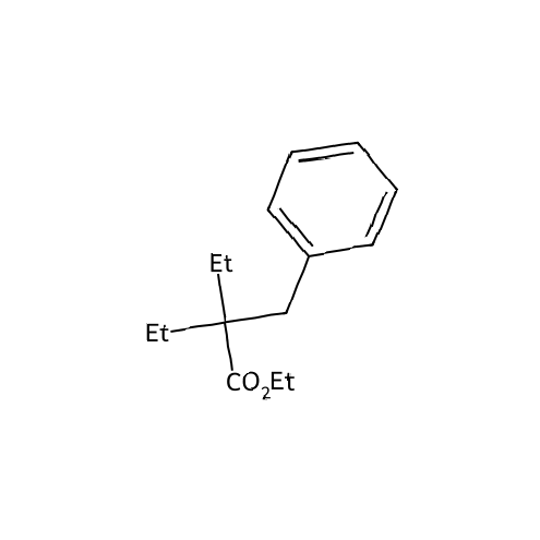 CCOC(=O)C(CC)(CC)Cc1ccccc1